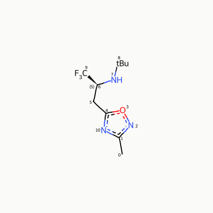 Cc1noc(C[C@H](NC(C)(C)C)C(F)(F)F)n1